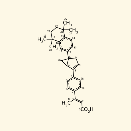 CC(=CC(=O)O)c1ccc(C2=CCC3(c4ccc5c(c4)C(C)(C)CCC5(C)C)CC23)cc1